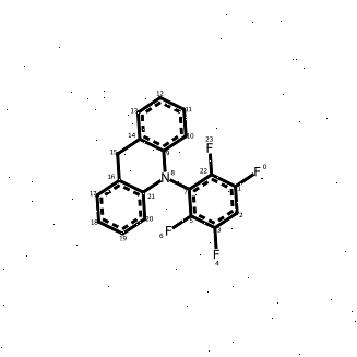 Fc1cc(F)c(F)c(N2c3ccccc3Cc3ccccc32)c1F